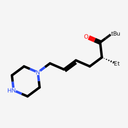 CC[C@H](C/C=C/CN1CCNCC1)C(=O)C(C)(C)C